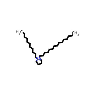 CCCCCCCCCCCCCCC[N+]1(CCCCCCCCCCC)CCCC1